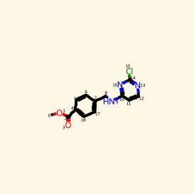 COC(=O)c1ccc(CNc2ccnc(Cl)n2)cc1